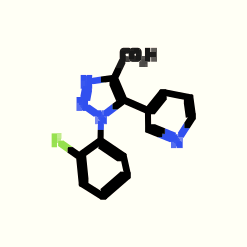 O=C(O)c1nnn(-c2ccccc2F)c1-c1cccnc1